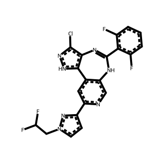 Fc1cccc(F)c1C1=Nc2c(Cl)n[nH]c2-c2cc(-c3ccn(CC(F)F)n3)ncc2N1